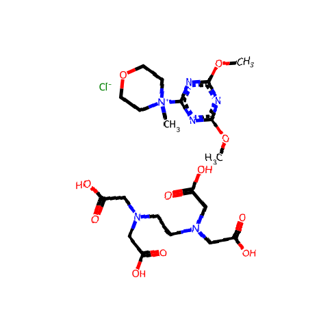 COc1nc(OC)nc([N+]2(C)CCOCC2)n1.O=C(O)CN(CCN(CC(=O)O)CC(=O)O)CC(=O)O.[Cl-]